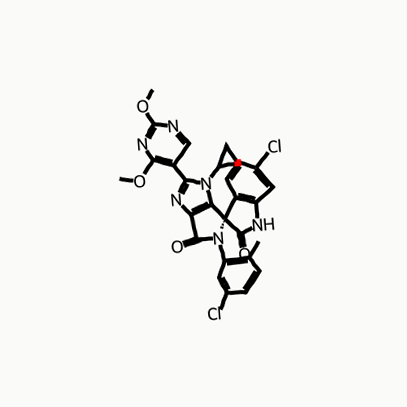 COc1ncc(-c2nc3c(n2C2CC2)[C@@]2(C(=O)Nc4cc(Cl)ccc42)N(c2cc(Cl)ccc2C)C3=O)c(OC)n1